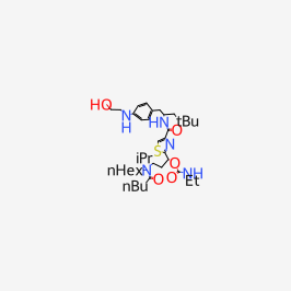 CCCCCCN(C(=O)CCCC)C(CC(OC(=O)NCC)c1nc(C(=O)NC(Cc2ccc(NCCO)cc2)CC(C)(C)C)cs1)C(C)C